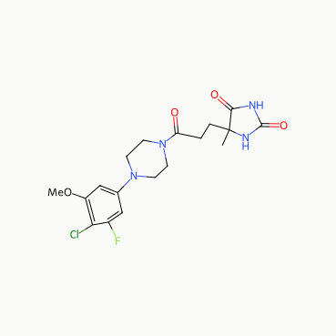 COc1cc(N2CCN(C(=O)CCC3(C)NC(=O)NC3=O)CC2)cc(F)c1Cl